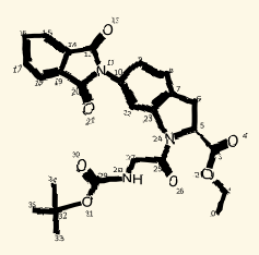 CCOC(=O)[C@@H]1Cc2ccc(N3C(=O)c4ccccc4C3=O)cc2N1C(=O)CNC(=O)OC(C)(C)C